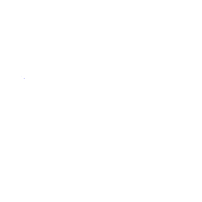 Cc1cc(C(=O)O)cc(C)c1-c1ccc(OCC(=O)N(C(C)C)C(C)C)cc1